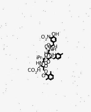 Cc1ccc(C[C@@H](NC(=O)[C@H](CC(=O)O)NC(=O)Cc2ccc(O)c([N+](=O)[O-])c2)C(=O)N[C@H](C(=O)N[C@@H](CC(=O)O)C(=O)COC(=O)c2c(C)cccc2C)C(C)C)cc1